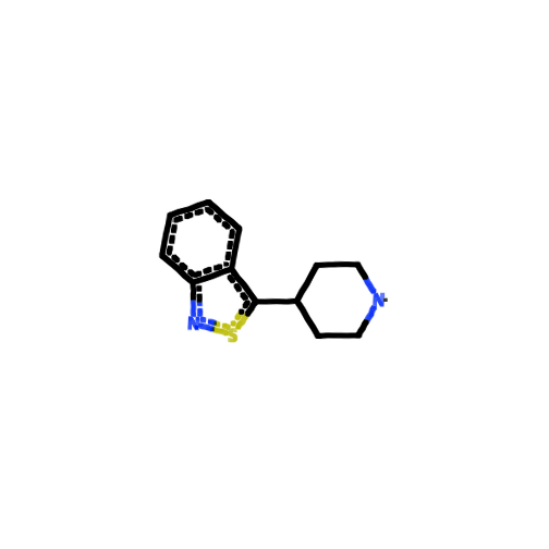 c1ccc2c(C3CC[N]CC3)snc2c1